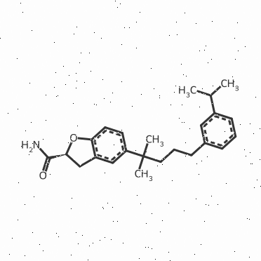 CC(C)c1cccc(CCCC(C)(C)c2ccc3c(c2)C[C@@H](C(N)=O)O3)c1